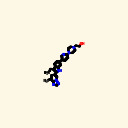 CCc1c(-c2cc(C)c3ncnn3c2)[nH]c2cc(-c3ccc(N4CCN(CCO)CC4)nc3)ccc12